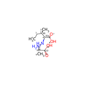 CC[C@@H](C)[C@H](N)C(=O)O.C[C@H](N)C(=O)O